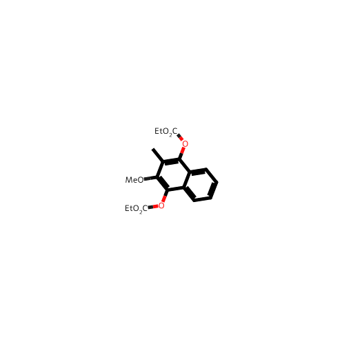 CCOC(=O)Oc1c(C)c(OC)c(OC(=O)OCC)c2ccccc12